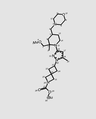 COCC1(C)CC(CN2CCOCC2)CCN1c1cc(C)n(C2CC3(C2)CN(C(=O)OC(C)(C)C)C3)n1